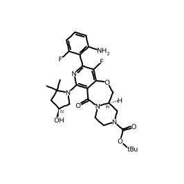 CC(C)(C)OC(=O)N1CCN2C(=O)c3c(N4C[C@@H](O)CC4(C)C)nc(-c4c(N)cccc4F)c(F)c3OC[C@H]2C1